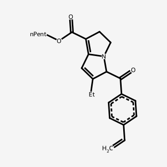 C=Cc1ccc(C(=O)C2C(CC)=CC3=C(C(=O)OCCCCC)CCN32)cc1